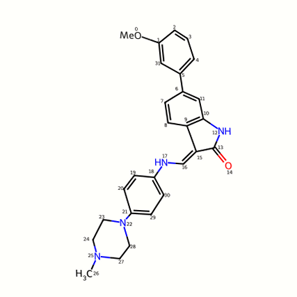 COc1cccc(-c2ccc3c(c2)NC(=O)C3=CNc2ccc(N3CCN(C)CC3)cc2)c1